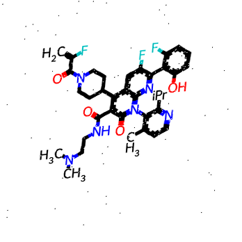 C=C(F)C(=O)N1CCC(c2c(C(=O)NCCN(C)C)c(=O)n(-c3c(C)ccnc3C(C)C)c3nc(-c4c(O)cccc4F)c(F)cc23)CC1